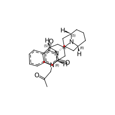 CC(=O)Cn1c(=O)n([C@H]2C[C@H]3CCC[C@@H](C2)N3C2C[C@H]3CCC[C@@H](C2)C3)c(=O)c2ccccc21